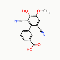 COc1cc(C#N)c(-c2cccc(C(=O)O)c2)c(C#N)c1O